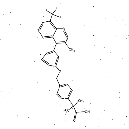 Cc1cnc2c(C(F)(F)F)cccc2c1-c1cccc(OCc2ccc(C(C)(C)C(=O)O)cc2)c1